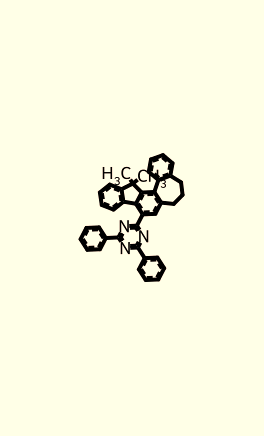 CC1(C)c2ccccc2-c2c(-c3nc(-c4ccccc4)nc(-c4ccccc4)n3)cc3c(c21)-c1ccccc1CCC3